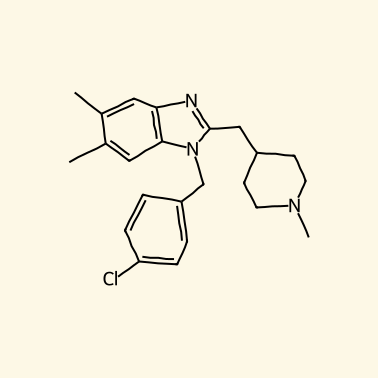 Cc1cc2nc(CC3CCN(C)CC3)n(Cc3ccc(Cl)cc3)c2cc1C